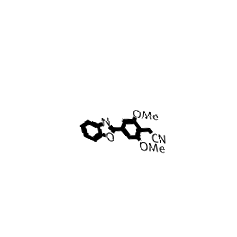 COc1cc(-c2nc3ccccc3o2)cc(OC)c1CC#N